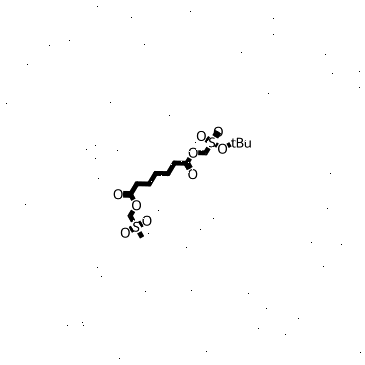 CC(C)(C)OS(=O)(=O)COC(=O)CCCCCC(=O)OCS(C)(=O)=O